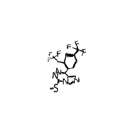 CSc1nnc(-c2ccc(C(F)(F)F)cc2CC(F)(F)F)c2cncn12